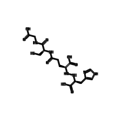 O=C(O)CNC(=O)[C@H](CS)NC(=O)CC[C@H](NN[C@@H](Cc1c[nH]cn1)C(=O)O)C(=O)O